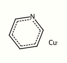 [Cu].c1ccncc1